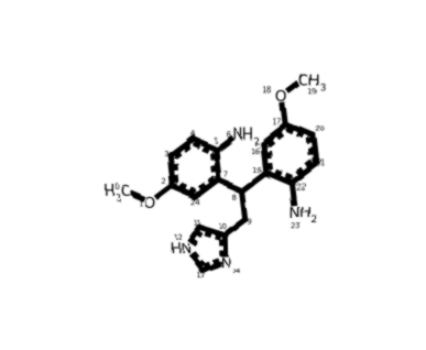 COc1ccc(N)c(C(Cc2c[nH]cn2)c2cc(OC)ccc2N)c1